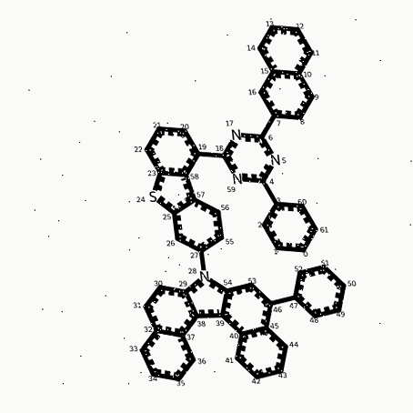 c1ccc(-c2nc(-c3ccc4ccccc4c3)nc(-c3cccc4sc5cc(-n6c7ccc8ccccc8c7c7c8ccccc8c(-c8ccccc8)cc76)ccc5c34)n2)cc1